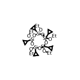 CCO[Si]1(C2CC2)O[Si](OCC)(C2CC2)O[Si](OCC)(C2CC2)O[Si](OCC)(C2CC2)O[Si](OCC)(C2CC2)O1